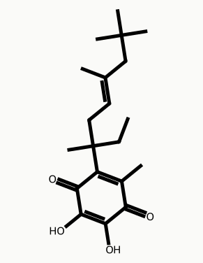 CCC(C)(C/C=C(\C)CC(C)(C)C)C1=C(C)C(=O)C(O)=C(O)C1=O